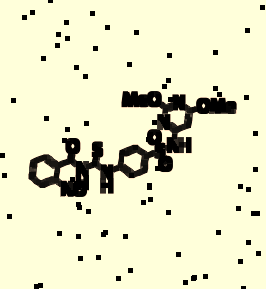 COc1cc(NS(=O)(=O)c2ccc(NC(=S)NC(=O)c3ccccc3N=O)cc2)nc(OC)n1